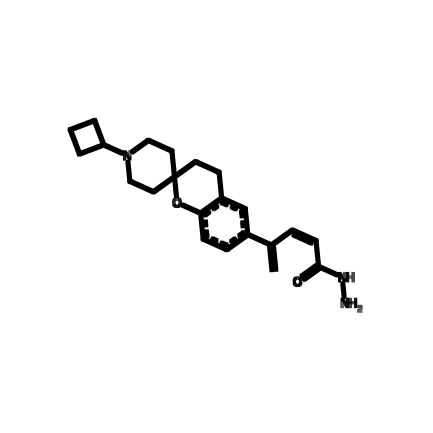 C=C(/C=C\C(=O)NN)c1ccc2c(c1)CCC1(CCN(C3CCC3)CC1)O2